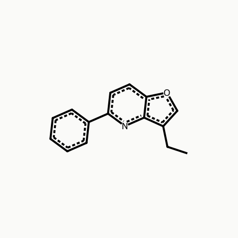 CCc1coc2ccc(-c3ccccc3)nc12